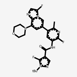 Cc1nc(F)c(NC(=O)c2cnn(C(C)(C)C)c2F)cc1-c1cc(N2CCOCC2)c2ncc(F)n2c1